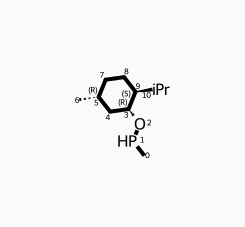 CPO[C@@H]1C[C@H](C)CC[C@H]1C(C)C